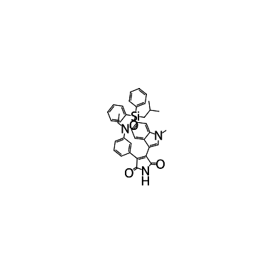 CCN(O[Si](CC(C)C)(c1ccccc1)c1ccccc1)c1cccc(C2=C(c3cn(C)c4ccccc34)C(=O)NC2=O)c1